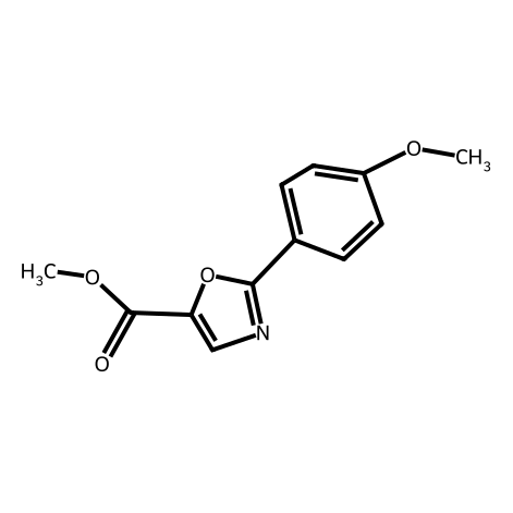 COC(=O)c1cnc(-c2ccc(OC)cc2)o1